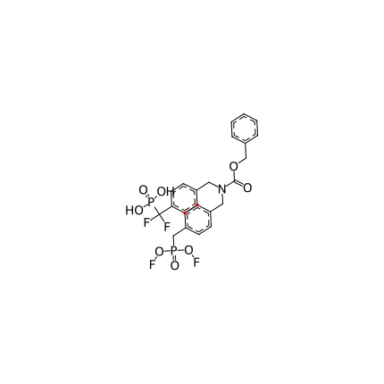 O=C(OCc1ccccc1)N(Cc1ccc(CP(=O)(OF)OF)cc1)Cc1ccc(C(F)(F)P(=O)(O)O)cc1